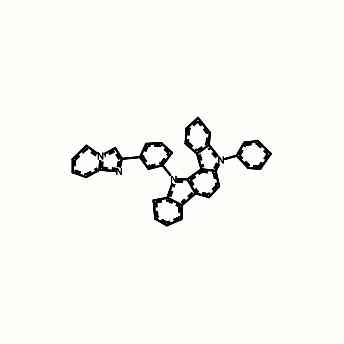 c1ccc(-n2c3ccccc3c3c2ccc2c4ccccc4n(-c4cccc(-c5cn6ccccc6n5)c4)c23)cc1